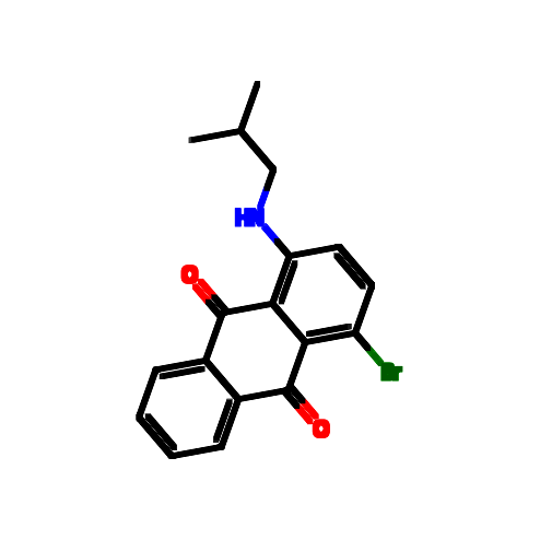 CC(C)CNc1ccc(Br)c2c1C(=O)c1ccccc1C2=O